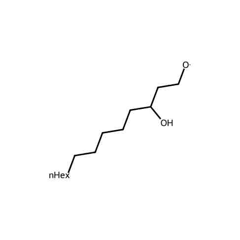 CCCCCCCCCCCC(O)CC[O]